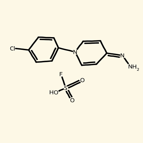 NN=c1ccn(-c2ccc(Cl)cc2)cc1.O=S(=O)(O)F